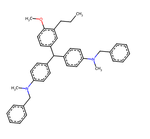 CCCc1cc(C(c2ccc(N(C)Cc3ccccc3)cc2)c2ccc(N(C)Cc3ccccc3)cc2)ccc1OC